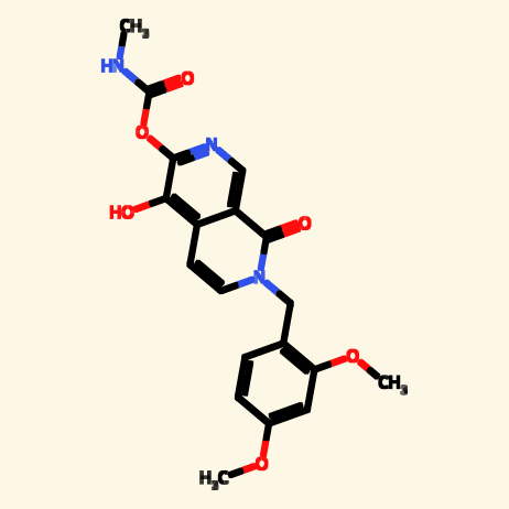 CNC(=O)Oc1ncc2c(=O)n(Cc3ccc(OC)cc3OC)ccc2c1O